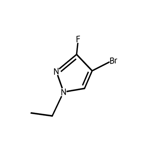 CCn1cc(Br)c(F)n1